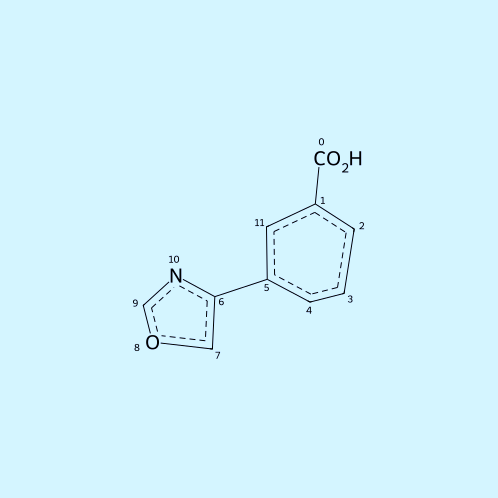 O=C(O)c1cccc(-c2cocn2)c1